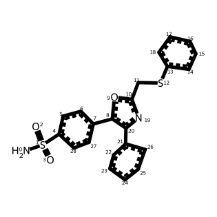 NS(=O)(=O)c1ccc(-c2oc(CSc3ccccc3)nc2-c2ccccc2)cc1